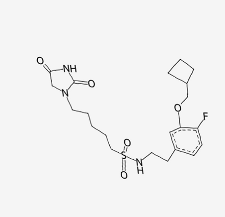 O=C1CN(CCCCCS(=O)(=O)NCCc2ccc(F)c(OCC3CCC3)c2)C(=O)N1